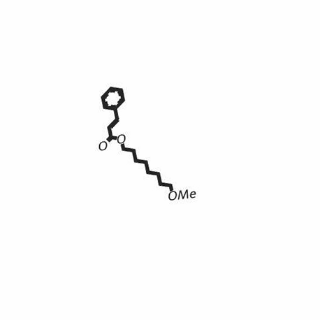 COCCCCCCCCOC(=O)C=Cc1ccccc1